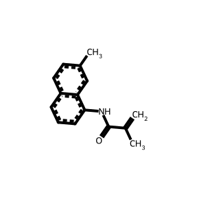 C=C(C)C(=O)Nc1cccc2ccc(C)cc12